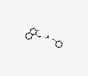 O=C(N/N=C/c1c(O)ccc2ccccc12)OCc1ccccc1